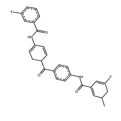 CC1C=C(C(=O)Nc2ccc(C(=O)C3C=CC(NC(=O)c4cccc(F)c4)=CC3)cc2)C=C(F)C1